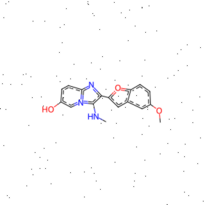 CNc1c(-c2cc3cc(OC)ccc3o2)nc2ccc(O)cn12